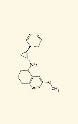 COc1ccc2c(c1)C(N[C@@H]1C[C@H]1c1ccccc1)CCC2